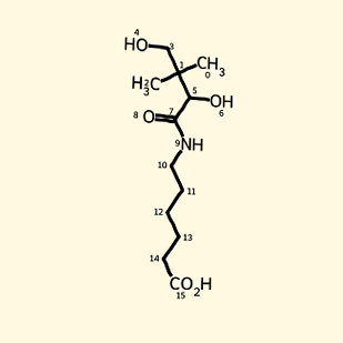 CC(C)(CO)C(O)C(=O)NCCCCCC(=O)O